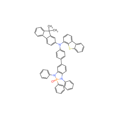 CC1(C)c2ccccc2-c2ccc(N(c3ccc(-c4ccc5c(c4)N(c4ccccc4)P(=O)(c4ccccc4)N5c4ccccc4)cc3)c3cccc4c3sc3ccccc34)cc21